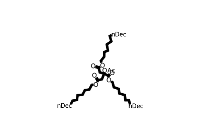 CCCCCCCCCCCCCCCCCOC(=O)CC(CC(=O)OCCCCCCCCCCCCCCCCC)(OC(C)=O)C(=O)OCCCCCCCCCCCCCCCCC